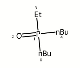 CCCCP(=O)(CC)CCCC